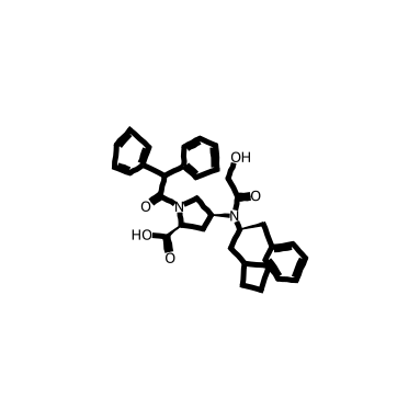 O=C(O)[C@@H]1C[C@H](N(C(=O)CO)[C@@H](Cc2ccccc2)CC2CCC2)CN1C(=O)C(c1ccccc1)c1ccccc1